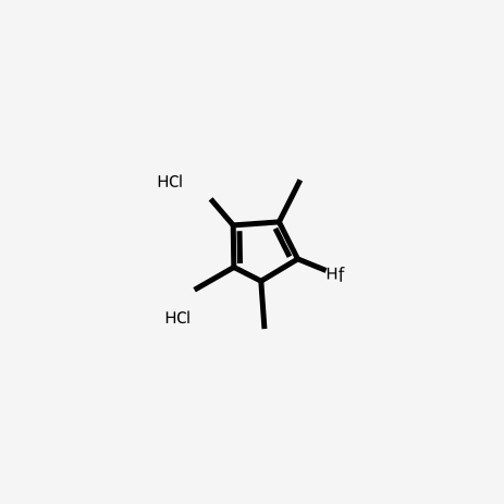 CC1=C(C)C(C)[C]([Hf])=C1C.Cl.Cl